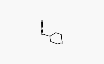 O=C=NN1CCSCC1